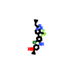 O[C@]1(C2CC2)CC[C@@H](Nc2ccc(-c3ccn4c(CC5CC5)nnc4c3C(F)(F)F)cc2Cl)CC1